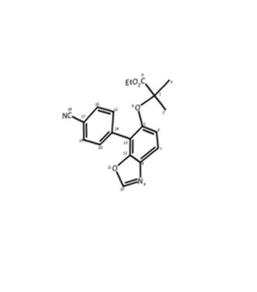 CCOC(=O)C(C)(C)Oc1ccc2ncoc2c1-c1ccc(C#N)cc1